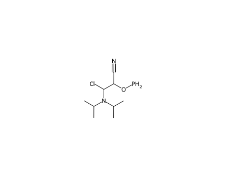 CC(C)N(C(C)C)C(Cl)C(C#N)OP